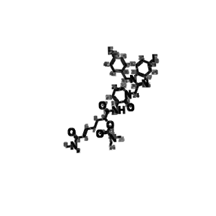 CN(C)C(=O)C=CCCC(OC(=O)N(C)C)C(=O)Nc1cccn(Cc2nc3cc(F)ccc3n2Cc2ccc(F)cc2)c1=O